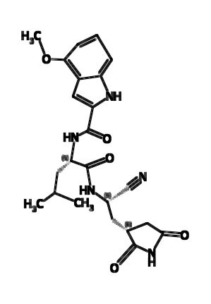 COc1cccc2[nH]c(C(=O)N[C@@H](CC(C)C)C(=O)N[C@H](C#N)C[C@@H]3CC(=O)NC3=O)cc12